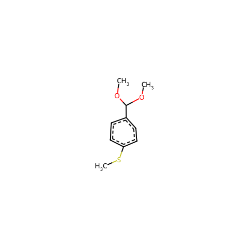 COC(OC)c1ccc(SC)cc1